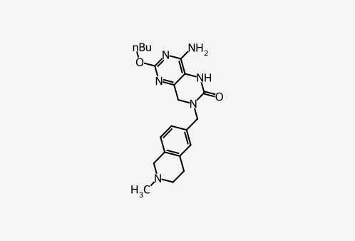 CCCCOc1nc(N)c2c(n1)CN(Cc1ccc3c(c1)CCN(C)C3)C(=O)N2